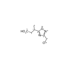 CC(CC(=O)O)c1nc(CCl)no1